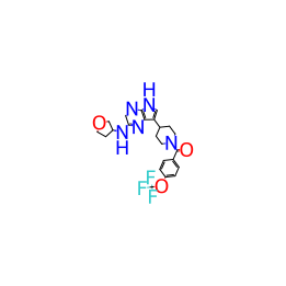 O=C(c1ccc(OC(F)(F)F)cc1)N1CCC(c2c[nH]c3ncc(N[C@H]4CCOC4)nc23)CC1